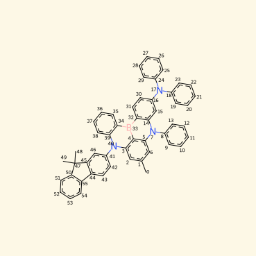 Cc1cc2c3c(c1)N(c1ccccc1)c1cc(N(c4ccccc4)c4ccccc4)ccc1B3c1ccccc1N2c1ccc2c(c1)C(C)(C)c1ccccc1-2